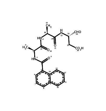 C[C@H](NC(=O)c1cccc2ccccc12)C(=O)N[C@@H](C)C(=O)N[C@H](C=O)CC(=O)O